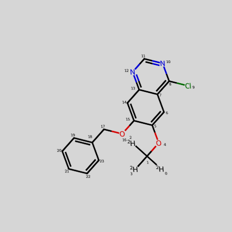 [2H]C([2H])([2H])Oc1cc2c(Cl)ncnc2cc1OCc1ccccc1